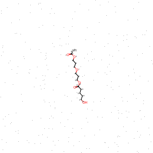 CCCC(=O)OCCCOCCCOC(=O)CCCCO